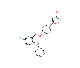 Oc1cc(-c2ccc(OCc3cc(F)ccc3Oc3ccccc3)cc2)on1